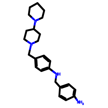 Nc1ccc(CNc2ccc(CN3CCC(N4CCCCC4)CC3)cc2)cc1